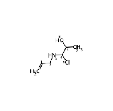 C=CCNC(Cl)C(C)O